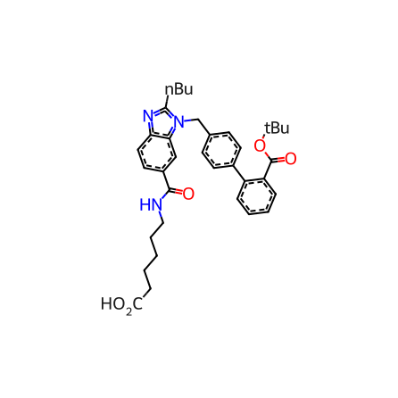 CCCCc1nc2ccc(C(=O)NCCCCCC(=O)O)cc2n1Cc1ccc(-c2ccccc2C(=O)OC(C)(C)C)cc1